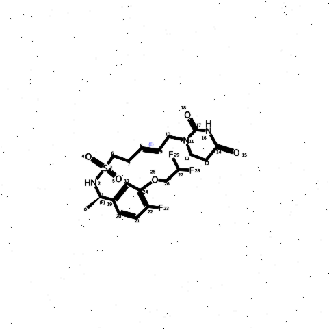 C[C@@H](NS(=O)(=O)CC/C=C/CN1CCC(=O)NC1=O)c1ccc(F)c(OCC(F)F)c1